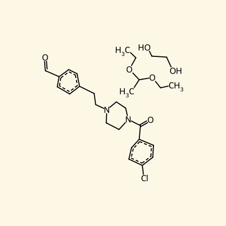 CCOC(C)OCC.O=Cc1ccc(CCN2CCN(C(=O)c3ccc(Cl)cc3)CC2)cc1.OCCO